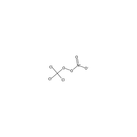 O=[N+]([O-])OOC(Cl)(Cl)Cl